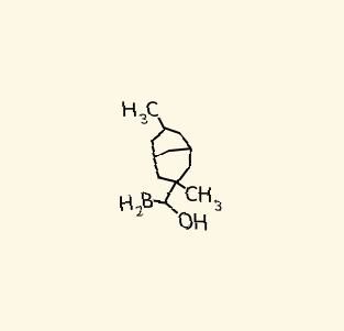 BC(O)C1(C)CC2CC(C)CC(C2)C1